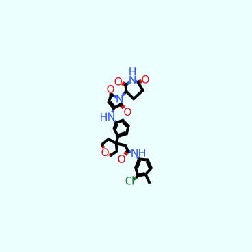 Cc1ccc(NC(=O)CC2(c3cccc(NC4=CC(=O)N(C5CCC(=O)NC5=O)C4=O)c3)CCOCC2)cc1Cl